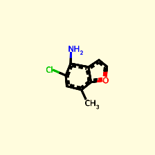 Cc1cc(Cl)c(N)c2ccoc12